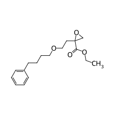 CCOC(=O)C1(CCOCCCCc2ccccc2)CO1